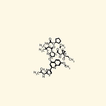 C=C[C@@H]1C[C@]1(NC(=O)[C@@H]1C[C@@H](Oc2cc(-c3csc(NC(C)C)n3)nc3cc(OC)ccc23)CN1C(=O)[C@@H](NC(=O)OC1CCCC1)C(C)(C)C)[PH](=O)CC